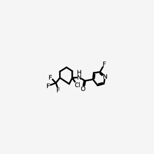 O=C(NC1(Cl)CCCC(C(F)(F)F)C1)c1ccnc(F)c1